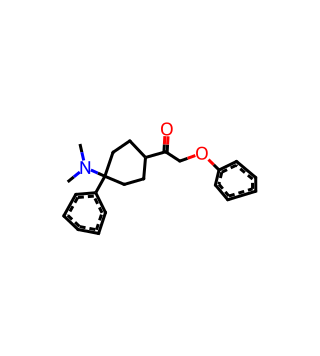 CN(C)C1(c2ccccc2)CCC(C(=O)COc2ccccc2)CC1